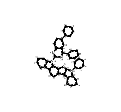 c1ccc(-c2ccc3nc(-n4c5ccccc5c5ccc6c(sc7c6c6ccccc6n7-c6ccccc6)c54)nc(-c4ccccc4)c3c2)cc1